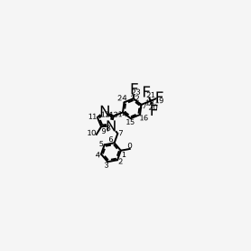 Cc1ccccc1Cn1c(C)cnc1-c1ccc(C(F)(F)F)c(F)c1